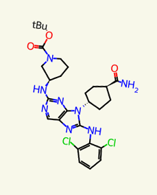 CC(C)(C)OC(=O)N1CCC[C@@H](Nc2ncc3nc(Nc4c(Cl)cccc4Cl)n([C@H]4CC[C@H](C(N)=O)CC4)c3n2)C1